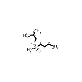 CC(C)COP(C)(=O)CCCN